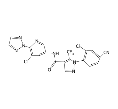 N#Cc1ccc(-n2ncc(C(=O)Nc3cnc(-n4nccn4)c(Cl)c3)c2C(F)(F)F)c(Cl)c1